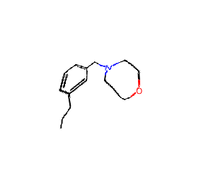 CCCc1cccc(CN2CCOCC2)c1